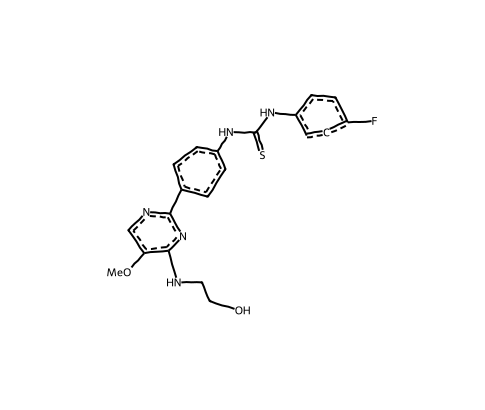 COc1cnc(-c2ccc(NC(=S)Nc3ccc(F)cc3)cc2)nc1NCCO